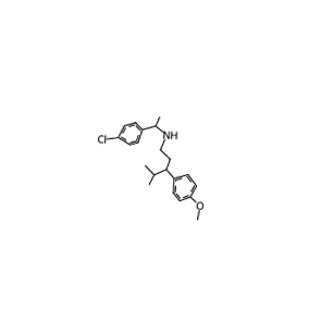 COc1ccc(C(CCNC(C)c2ccc(Cl)cc2)C(C)C)cc1